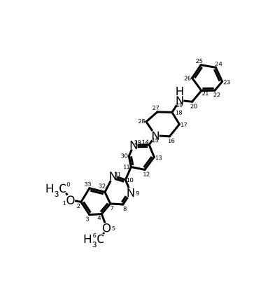 COc1cc(OC)c2cnc(-c3ccc(N4CCC(NCc5ccccc5)CC4)nc3)nc2c1